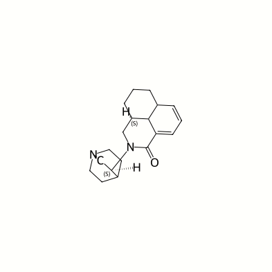 O=C1C2=CC=CC3CCC[C@H](CN1[C@@H]1CN4CCC1CC4)C23